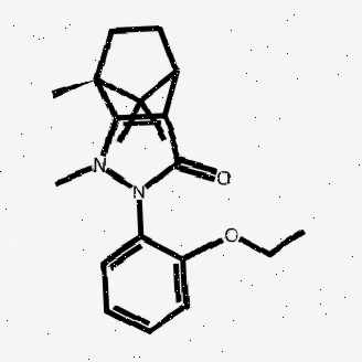 CCOc1ccccc1-n1c(=O)c2c(n1C)[C@]1(C)CCC2C1(C)C